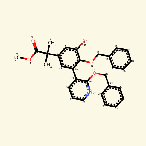 COC(=O)C(C)(C)c1cc(Br)c(OCc2ccccc2)c(-c2cccnc2OCc2ccccc2)c1